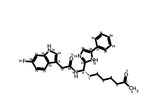 CC(=O)CCCCC[C@H](NC(=O)Cc1c[nH]c2cc(F)ccc12)c1ncc(-c2ccccc2)[nH]1